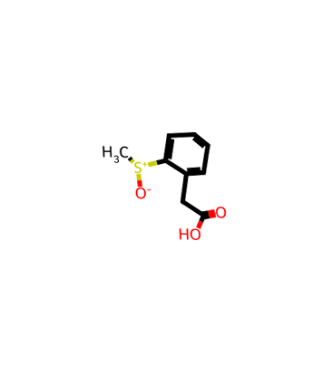 C[S+]([O-])c1ccccc1CC(=O)O